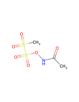 CC(=O)NOS(=O)(=O)S(C)(=O)=O